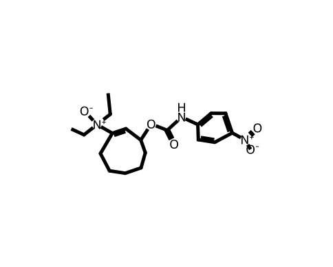 CC[N+]([O-])(CC)/C1=C/C(OC(=O)Nc2ccc([N+](=O)[O-])cc2)CCCCC1